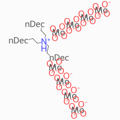 CCCCCCCCCCCC[NH+](CCCCCCCCCCCC)CCCCCCCCCCCC.[O]=[Mo](=[O])([O-])[O-].[O]=[Mo](=[O])([O-])[O-].[O]=[Mo](=[O])([O-])[O-].[O]=[Mo](=[O])([O-])[O-].[O]=[Mo](=[O])([O-])[O-].[O]=[Mo](=[O])([O-])[O-].[O]=[Mo](=[O])([O-])[O-].[O]=[Mo](=[O])([O-])[O-]